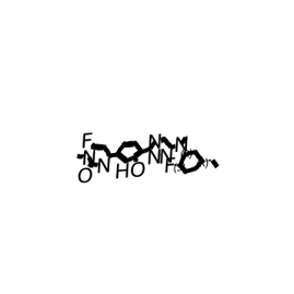 CC[C@@H]1CC[C@H](F)[C@H](N(C)c2cnc(-c3ccc(-c4cc(F)n(C)c(=O)n4)cc3O)nn2)C1